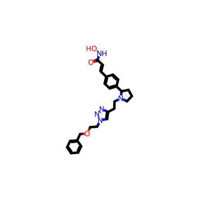 O=C(/C=C/c1ccc(C2CCCN2CCc2cn(CCOCc3ccccc3)nn2)cc1)NO